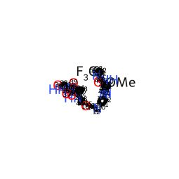 COc1cc2nn([C@H]3CC[C@H](CN(C)CCCO[C@H]4C[C@H](Nc5cccc6c5C(=O)N(C5CCC(=O)NC5=O)C6=O)C4)CC3)cc2cc1NC(=O)c1cccc(C(F)(F)F)n1